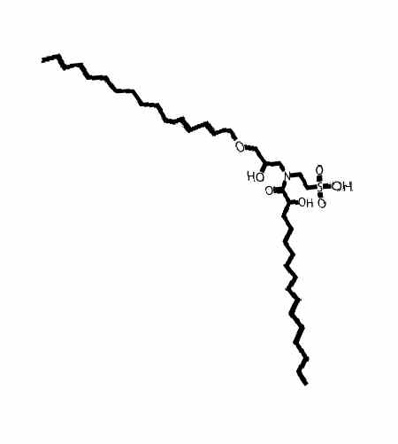 CCCCCCCCCCCCCCCCOCC(O)CN(CCS(=O)(=O)O)C(=O)C(O)CCCCCCCCCCCCCC